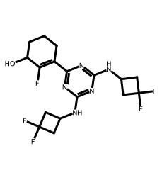 OC1CCCC(c2nc(NC3CC(F)(F)C3)nc(NC3CC(F)(F)C3)n2)=C1F